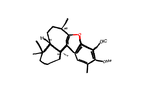 COc1c(C)cc2c3c(oc2c1C=O)[C@H](C)CC[C@H]1C(C)(C)CCC[C@]31C